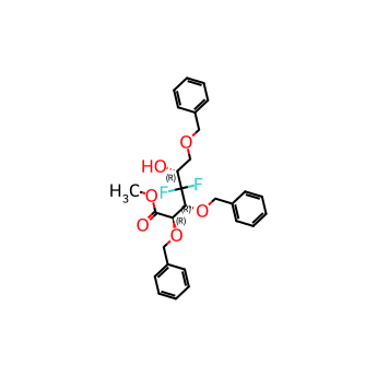 COC(=O)[C@H](OCc1ccccc1)[C@@H](OCc1ccccc1)C(F)(F)[C@H](O)COCc1ccccc1